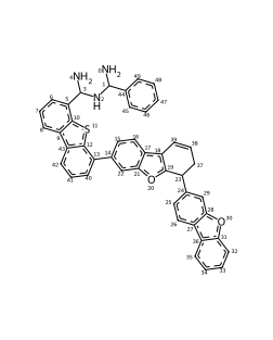 NC(NC(N)c1cccc2c1sc1c(-c3ccc4c5c(oc4c3)C(c3ccc4c(c3)oc3ccccc34)CC=C5)cccc12)c1ccccc1